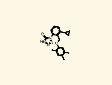 Cc1cc(C)c(OCc2c(C3CC3)cccc2-n2nn[nH]c2=O)cc1C